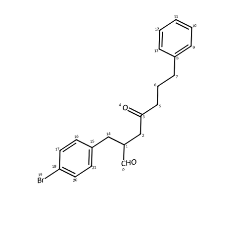 O=CC(CC(=O)CCCc1ccccc1)Cc1ccc(Br)cc1